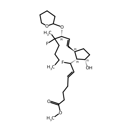 CCCCC(C)(F)[C@@H](C=C[C@H]1CC[C@H](O)[C@@H]1C(F)C=CCCCC(=O)OC)OC1CCCCO1